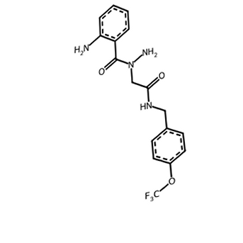 Nc1ccccc1C(=O)N(N)CC(=O)NCc1ccc(OC(F)(F)F)cc1